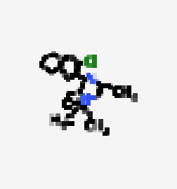 CCC1=CN(C(CC)CC)C(CC)C(c2cc3c(cc2Cl)CCCC3)=N1